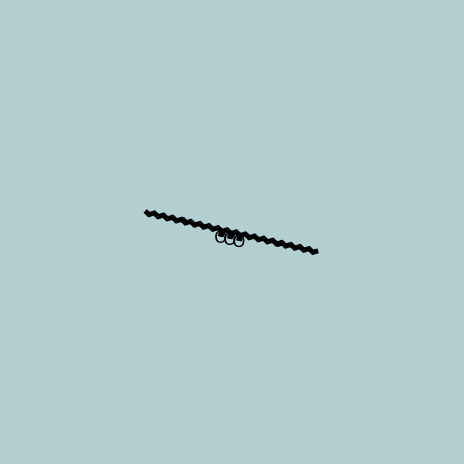 CCCCCCCCC=CCCCCCCCC(=O)CC(=O)CC(=O)CCCCCCCC=CCCCCCCCC